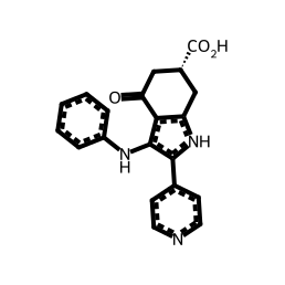 O=C1C[C@H](C(=O)O)Cc2[nH]c(-c3ccncc3)c(Nc3ccccc3)c21